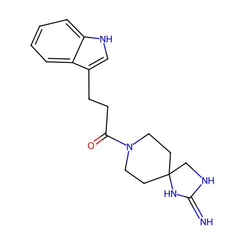 N=C1NCC2(CCN(C(=O)CCc3c[nH]c4ccccc34)CC2)N1